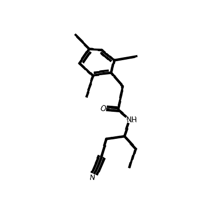 CCC(CC#N)NC(=O)Cc1c(C)cc(C)cc1C